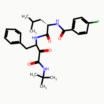 CC(C)C[C@H](NC(=O)c1ccc(F)cc1)C(=O)NC(Cc1ccccc1)C(=O)C(=O)NC(C)(C)C